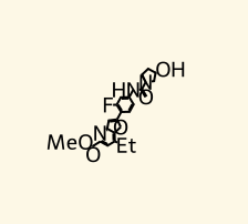 CCc1cc(C(=O)OC)nc2cc(-c3ccc(NC(=O)N4CC[C@@H](O)C4)cc3F)oc12